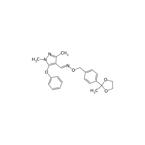 Cc1nn(C)c(Oc2ccccc2)c1/C=N/OCc1ccc(C2(C)OCCO2)cc1